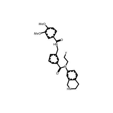 COc1ccc(C(=O)NCc2cccc(C(=O)N(CCF)c3ccc4c(c3)CNCC4)c2)cc1OC